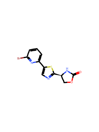 O=C1N[C@H](c2ncc(-c3cccc(Br)n3)s2)CO1